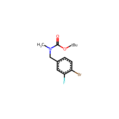 CN(Cc1ccc(Br)c(F)c1)C(=O)OC(C)(C)C